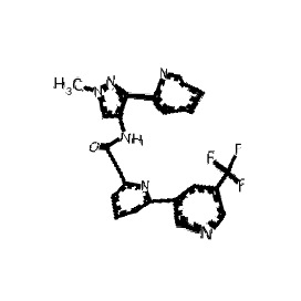 Cn1cc(NC(=O)c2cccc(-c3cncc(C(F)(F)F)c3)n2)c(-c2ccccn2)n1